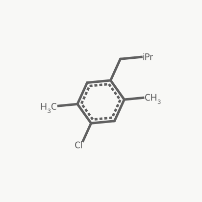 Cc1cc(CC(C)C)c(C)cc1Cl